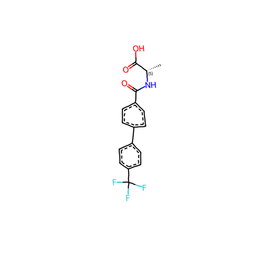 C[C@H](NC(=O)c1ccc(-c2ccc(C(F)(F)F)cc2)cc1)C(=O)O